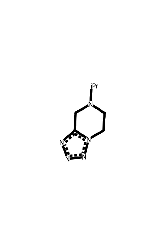 CC(C)N1CCn2nnnc2C1